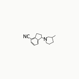 CC1CCCN(C2CCc3c(C#N)cccc32)C1